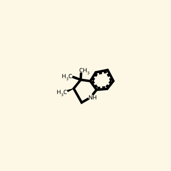 C[C@@H]1CNc2ccccc2C1(C)C